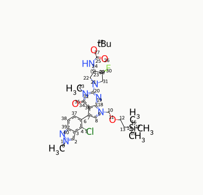 Cn1cc2c(Cl)c(-c3cn(COCC[Si](C)(C)C)c4nc(N5C[C@H](NC(=O)OC(C)(C)C)[C@@H](F)C5)n(C)c(=O)c34)ccc2n1